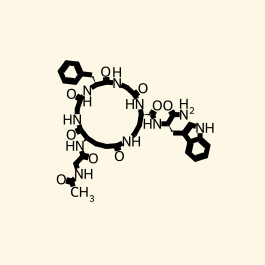 CC(=O)NCC(=O)N[C@H]1CCC(=O)NCC[C@@H](C(=O)N[C@@H](Cc2c[nH]c3ccccc23)C(N)=O)NC(=O)CNC(=O)[C@@H](Cc2ccccc2)NC(=O)CNC1=O